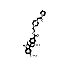 COc1ccc2c(c1)C(CC(=O)O)(c1ccc(C(=O)OCCN3CCN(CC(=O)N4CCCC4)CC3)cc1)C(C)N2C